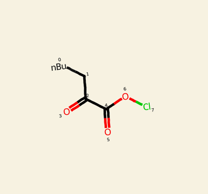 CCCCCC(=O)C(=O)OCl